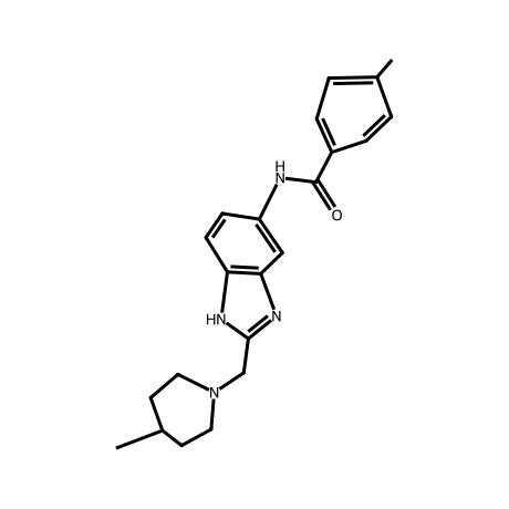 Cc1ccc(C(=O)Nc2ccc3[nH]c(CN4CCC(C)CC4)nc3c2)cc1